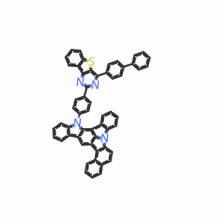 c1ccc(-c2ccc(-c3nc(-c4ccc(-n5c6ccccc6c6cc7c8c9ccccc9ccc8n8c9ccccc9c(c65)c78)cc4)nc4c3sc3ccccc34)cc2)cc1